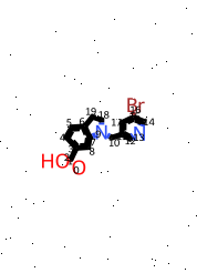 O=C(O)c1ccc2c(c1)N(Cc1cncc(Br)c1)CC2